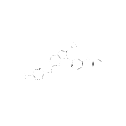 C=CC(=O)Nc1cccc(-n2c(C3CC3)nc3cnc(Nc4ccc(N(C)C)nc4)nc32)c1